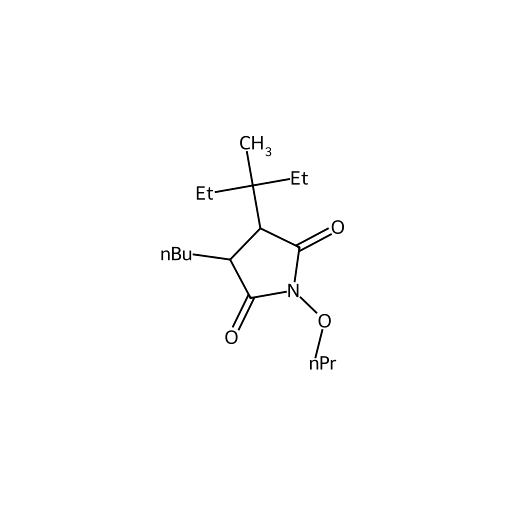 CCCCC1C(=O)N(OCCC)C(=O)C1C(C)(CC)CC